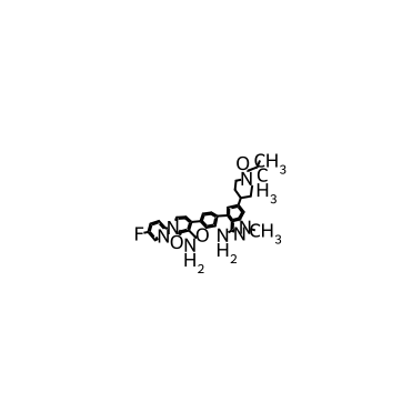 CC(C)C(=O)N1CCC(c2cc(-c3ccc(-c4ccn(-c5ccc(F)cn5)c(=O)c4C(N)=O)cc3)c3c(N)nn(C)c3c2)CC1